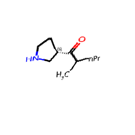 CCCC(C)C(=O)[C@H]1CCNC1